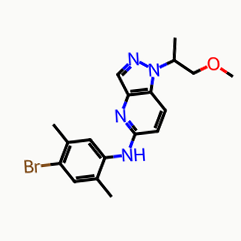 COCC(C)n1ncc2nc(Nc3cc(C)c(Br)cc3C)ccc21